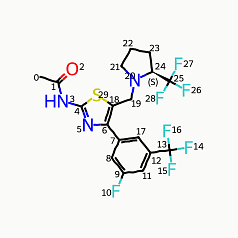 CC(=O)Nc1nc(-c2cc(F)cc(C(F)(F)F)c2)c(CN2CCC[C@H]2C(F)(F)F)s1